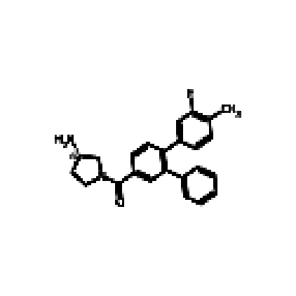 Cc1ccc(-c2ccc(C(=O)N3CC[C@H](N)C3)cc2-c2ccccc2)cc1F